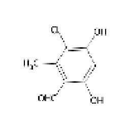 Cc1c(Cl)c(O)cc(O)c1C=O